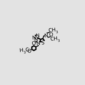 COc1ccc(Cn2c(=O)n3ncnc3c3c(CN4CC(C)OC(C)C4)csc32)cc1